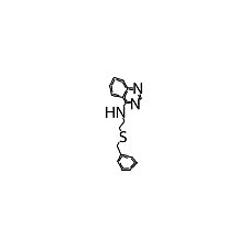 c1ccc(CSCCNc2ncnc3ccccc23)cc1